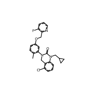 Cc1ccc(OCc2ncccc2F)cc1N1Cc2c(Cl)cccc2N(CC2CC2)C1=O